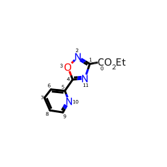 CCOC(=O)c1noc(-c2ccccn2)n1